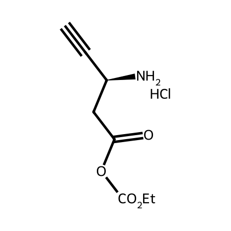 C#C[C@@H](N)CC(=O)OC(=O)OCC.Cl